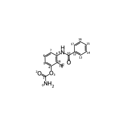 NC(=O)Oc1cccc(NC(=O)c2ccccc2)c1F